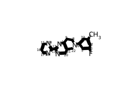 Cc1cc(F)cc(N2CCc3nc(-c4ncccn4)ncc3C2)c1